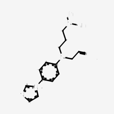 C=CCN(CCCN(CCC)CCC)c1ccc(-n2ccnc2)cc1